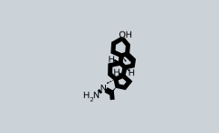 CC(=NN)[C@H]1CC[C@H]2[C@@H]3CC=C4CC(O)CC[C@]4(C)[C@H]3CC[C@]12C